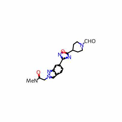 CNC(=O)Cn1cc2ccc(-c3noc(C4CCN(C=O)CC4)n3)cc2n1